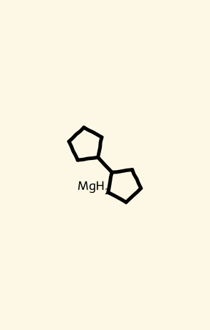 C1CCC(C2CCCC2)C1.[MgH2]